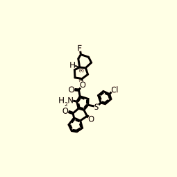 Nc1c(C(=O)O[C@@H]2CC[C@@H]3CC(F)CCC3C2)cc(Sc2ccc(Cl)cc2)c2c1C(=O)c1ccccc1C2=O